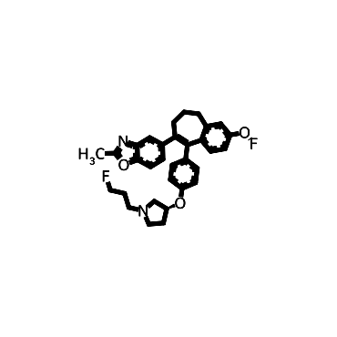 Cc1nc2cc(C3=C(c4ccc(O[C@H]5CCN(CCCF)C5)cc4)c4ccc(OF)cc4CCC3)ccc2o1